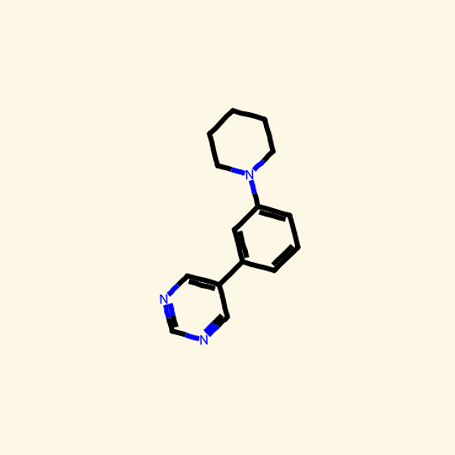 c1cc(-c2cncnc2)cc(N2CCCCC2)c1